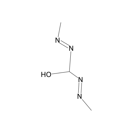 CN=NC(O)N=NC